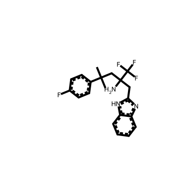 CC(C)(CC(N)(Cc1nc2ccccc2[nH]1)C(F)(F)F)c1ccc(F)cc1